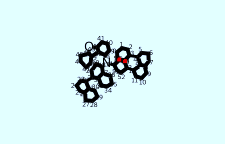 c1ccc(-c2cccc3cccc(-c4ccc(N(c5ccc(-c6cccc7ccccc67)c6ccccc56)c5cccc6oc7ccccc7c56)cc4)c23)cc1